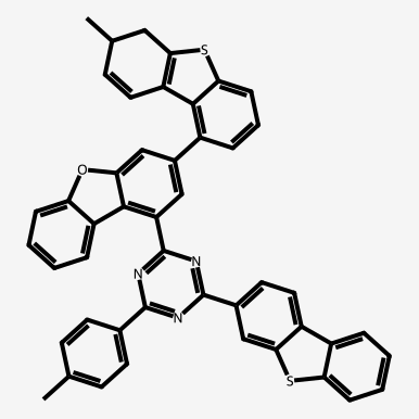 Cc1ccc(-c2nc(-c3ccc4c(c3)sc3ccccc34)nc(-c3cc(-c4cccc5sc6c(c45)C=CC(C)C6)cc4oc5ccccc5c34)n2)cc1